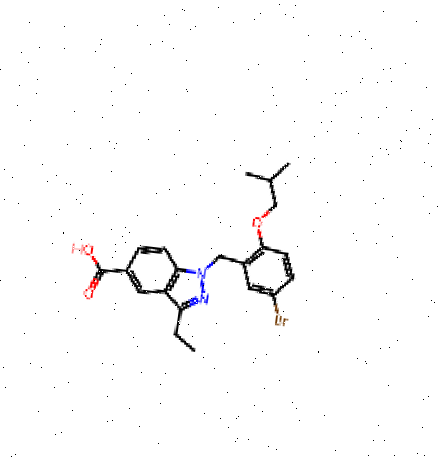 CCc1nn(Cc2cc(Br)ccc2OCC(C)C)c2ccc(C(=O)O)cc12